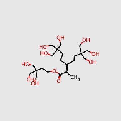 CC(C(=O)OCCC(CO)(CO)CO)=C(CCC(CO)(CO)CO)CCC(CO)(CO)CO